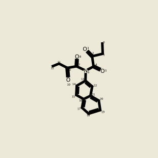 CCC(=O)C(=O)N(C(=O)C(=O)CC)c1ccc2ccccc2c1